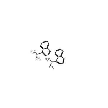 CN(C)c1cccc2ccccc12.CN(C)c1cccc2ccccc12